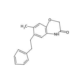 Cc1cc2c(cc1CCc1ccccc1)NC(=O)CO2